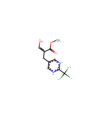 COC(=O)/C(=C\O)Cc1cnc(C(F)(F)F)nc1